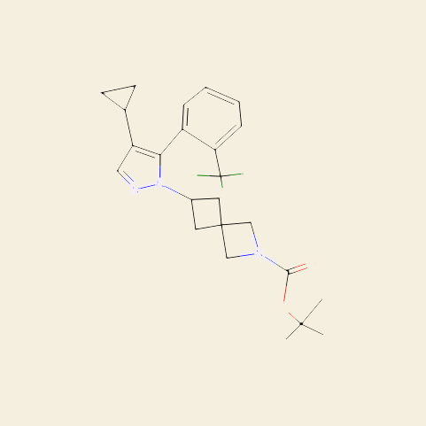 CC(C)(C)OC(=O)N1CC2(CC(n3ncc(C4CC4)c3-c3ccccc3C(F)(F)F)C2)C1